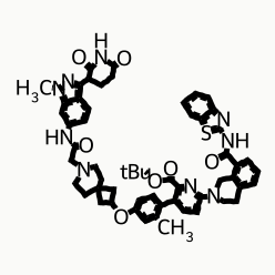 Cc1cc(OC2CC3(CCN(CC(=O)Nc4ccc5c(C6CCC(=O)NC6=O)nn(C)c5c4)CC3)C2)ccc1-c1ccc(N2CCc3cccc(C(=O)Nc4nc5ccccc5s4)c3C2)nc1C(=O)OC(C)(C)C